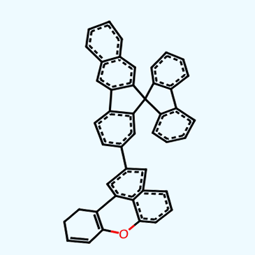 C1=CC2=C(CC1)c1cc(-c3ccc4c(c3)C3(c5ccccc5-c5ccccc53)c3cc5ccccc5cc3-4)cc3cccc(c13)O2